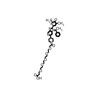 Cc1cc(-c2nc3cnc(C4CCN(C(=O)COCCOCCOCCOCCOCCC(=O)O)CC4)cc3n2[C@@H](C)c2ccccc2)nn(C)c1=O